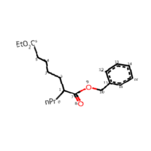 CCCC(CCCCC(=O)OCC)C(=O)OCc1ccccc1